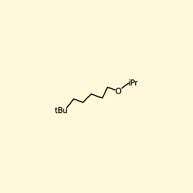 CC(C)OCCCCCC(C)(C)C